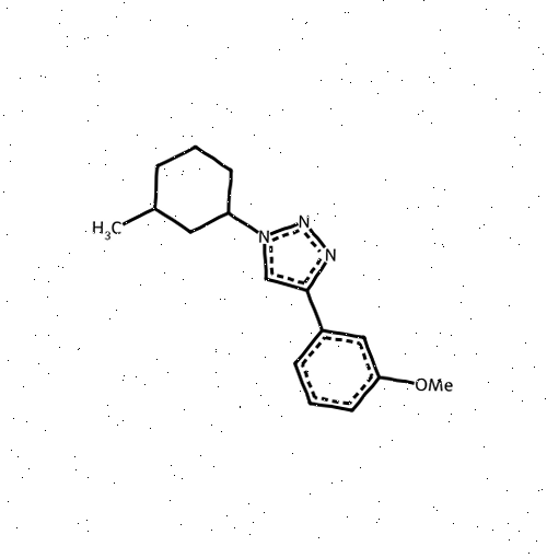 COc1cccc(-c2cn(C3CCCC(C)C3)nn2)c1